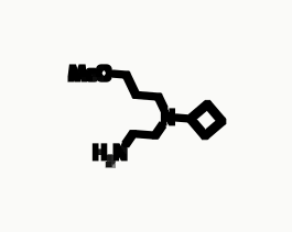 COCCCN(CCN)C1CCC1